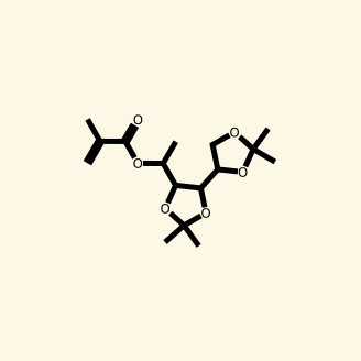 C=C(C)C(=O)OC(C)C1OC(C)(C)OC1C1COC(C)(C)O1